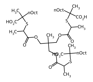 CCCCCCCCC(C)(SC(C)C(=O)OCC(C)(COC(=O)C(C)SC(C)(CCCCCCCC)C(=O)O)COC(=O)C(C)SC(C)(CCCCCCCC)C(=O)O)C(=O)O